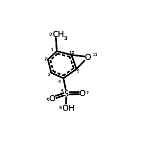 Cc1ccc(S(=O)(=O)O)c2c1O2